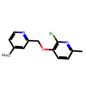 COc1ccnc(COc2ccc(C)nc2Br)c1